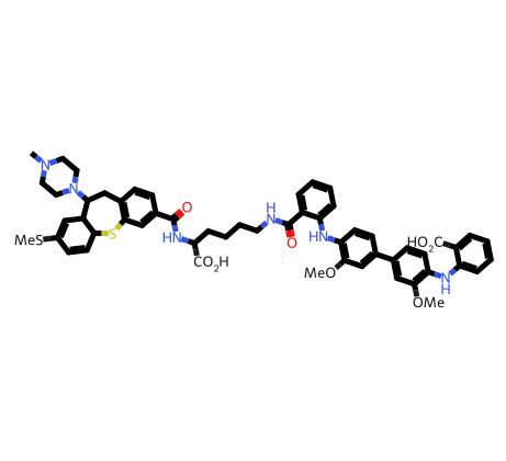 COc1cc(-c2ccc(Nc3ccccc3C(=O)NCCCCC(NC(=O)c3ccc4c(c3)SC3C=CC(SC)=CC3C(N3CCN(C)CC3)C4)C(=O)O)c(OC)c2)ccc1Nc1ccccc1C(=O)O